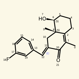 CC1=C2CCC[C@H](O)[C@@]2(C)C/C(=C\c2cccc(F)c2)C1=O